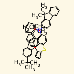 CC(C)(C)c1ccc2c(c1)C1(c3ccccc3Sc3ccc(N(c4ccc5c(c4)C(C)(C)c4ccccc4-5)c4ccccc4-c4ccccc4)cc31)c1cc(C(C)(C)C)ccc1-2